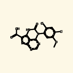 COc1cc(N2C(=O)Nc3c(C(=O)O)sc4ncnc2c34)c(Cl)cc1Cl